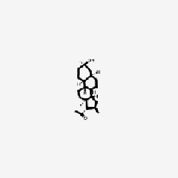 CC(=O)[C@H]1C(C)C[C@H]2[C@@H]3CC[C@@H]4C[C@](C)(O)CC[C@@H]4[C@H]3CC[C@]12C